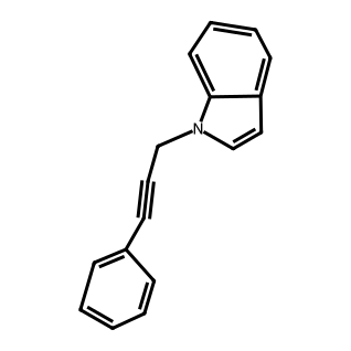 C(#Cc1ccccc1)Cn1ccc2ccccc21